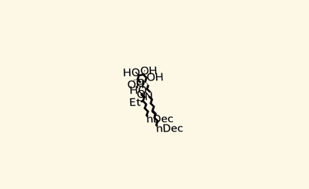 CCCCCCCCCCCCCC=CCCCN(CC(O)C[C@@H]1O[C@H](CO)[C@@H](O)[C@H](O)[C@H]1O)C(=O)C(CC)CCCCCCCCCCCCCC